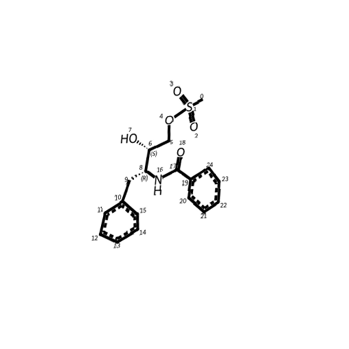 CS(=O)(=O)OC[C@@H](O)[C@@H](Cc1ccccc1)NC(=O)c1ccccc1